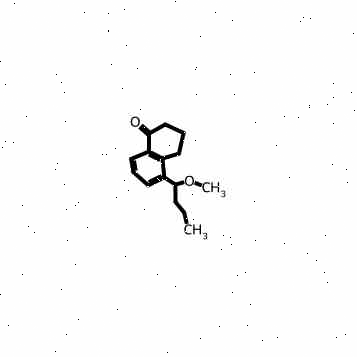 CCCC(OC)c1cccc2c1CCCC2=O